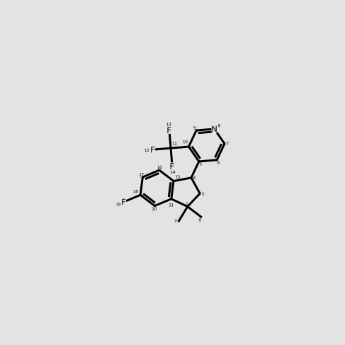 CC1(C)CC(c2ccncc2C(F)(F)F)c2c[c]c(F)cc21